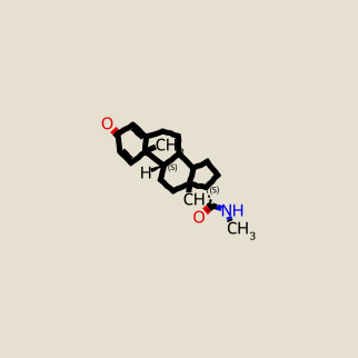 CNC(=O)[C@H]1CCC2C3CCC4=CC(=O)C=CC4(C)[C@H]3CCC21C